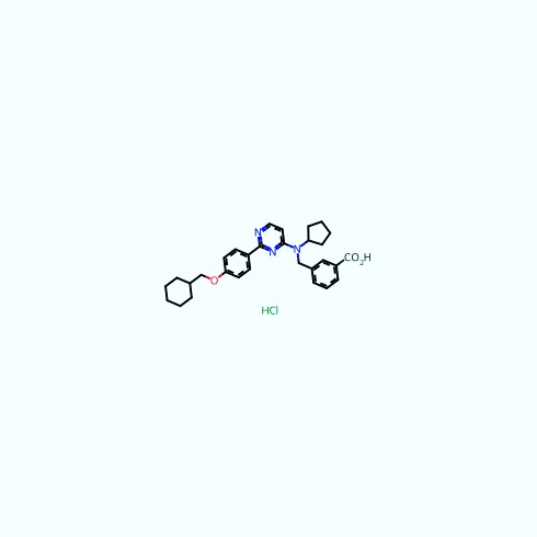 Cl.O=C(O)c1cccc(CN(c2ccnc(-c3ccc(OCC4CCCCC4)cc3)n2)C2CCCC2)c1